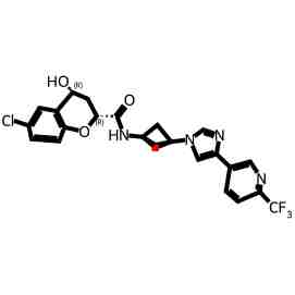 O=C(NC12CC(n3cnc(-c4ccc(C(F)(F)F)nc4)c3)(C1)C2)[C@H]1C[C@@H](O)c2cc(Cl)ccc2O1